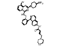 CC(C)C1=C2N=C(N3CCC(N)CC3)N=C(NCc3ccccc3-c3nccc4cc(NC(=O)/C=C/CN5CCOCC5)ccc34)N2C=C=C1